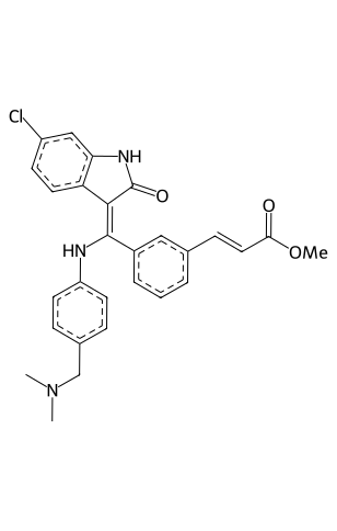 COC(=O)C=Cc1cccc(C(Nc2ccc(CN(C)C)cc2)=C2C(=O)Nc3cc(Cl)ccc32)c1